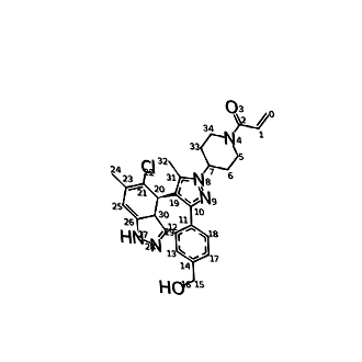 C=CC(=O)N1CCC(n2nc(-c3ccc(CO)cc3)c([C@@H]3C(Cl)=C(C)C=C4NN=CC43)c2C)CC1